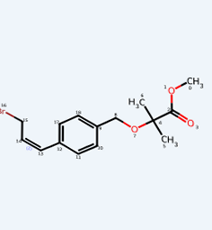 COC(=O)C(C)(C)OCc1ccc(/C=C\CBr)cc1